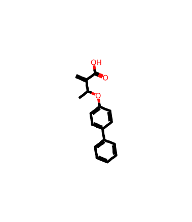 C=C(C(=O)O)C(C)Oc1ccc(-c2ccccc2)cc1